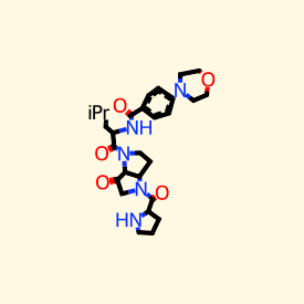 CC(C)CC(NC(=O)c1ccc(N2CCOCC2)cc1)C(=O)N1CCC2C1C(=O)CN2C(=O)C1CCCN1